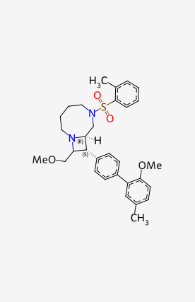 COCC1[C@@H](c2ccc(-c3cc(C)ccc3OC)cc2)[C@@H]2CN(S(=O)(=O)c3ccccc3C)CCCCN12